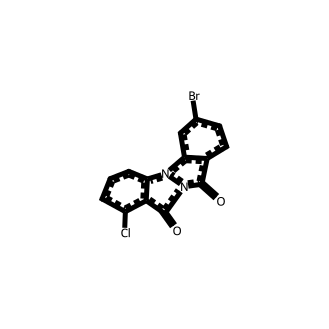 O=c1c2ccc(Br)cc2n2c3cccc(Cl)c3c(=O)n12